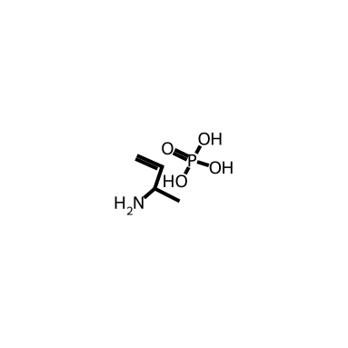 C=CC(C)N.O=P(O)(O)O